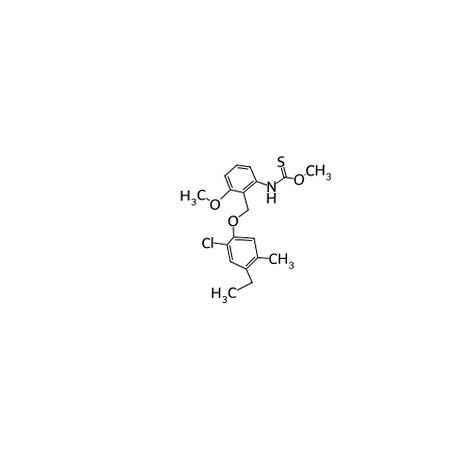 CCc1cc(Cl)c(OCc2c(NC(=S)OC)cccc2OC)cc1C